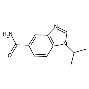 CC(C)n1cnc2cc(C(N)=O)ccc21